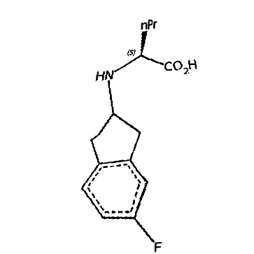 CCC[C@H](NC1Cc2ccc(F)cc2C1)C(=O)O